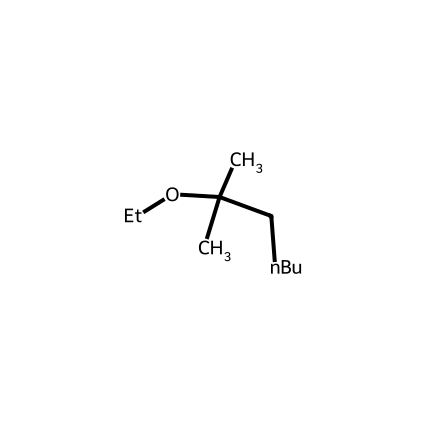 [CH2]COC(C)(C)CCCCC